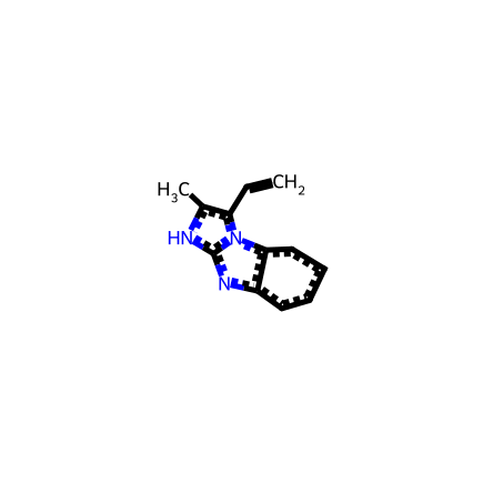 C=Cc1c(C)[nH]c2nc3ccccc3n12